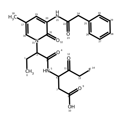 CCC(C(=O)NC(CC(=O)O)C(=O)CF)n1cc(C)cc(NC(=O)Cc2ccccc2)c1=O